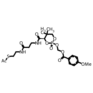 COc1ccc(C(=O)OCOP2(=O)OCC(C)(C)[C@H](C(=O)NCCC(=O)NCCSC(C)=O)O2)cc1